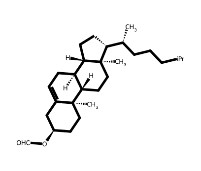 CC(C)CCC[C@@H](C)[C@H]1CC[C@H]2[C@@H]3CC=C4C[C@H](OC=O)CC[C@]4(C)[C@H]3CC[C@]12C